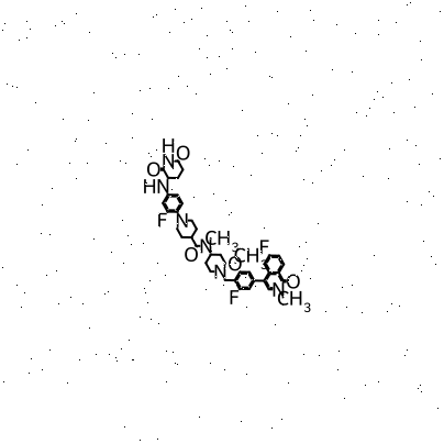 COc1cc(-c2cn(C)c(=O)c3ccc(F)cc23)cc(F)c1CN1CCC(N(C)C(=O)C2CCN(c3ccc(NC4CCC(=O)NC4=O)cc3F)CC2)CC1